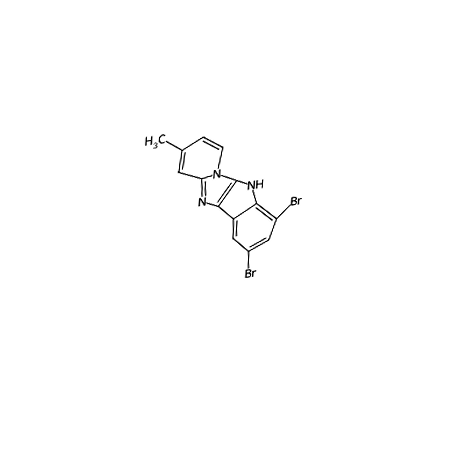 Cc1ccn2c(c1)nc1c3cc(Br)cc(Br)c3[nH]c12